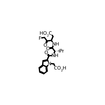 CC(C)[C@H](NC(=O)c1cc2ccccc2n1CC(=O)O)C(=O)NC(CC(=O)O)C(=O)CF